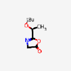 CC(OC(C)(C)C)C1=NCC(=O)O1